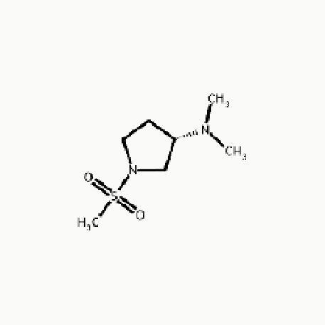 CN(C)[C@H]1CCN(S(C)(=O)=O)C1